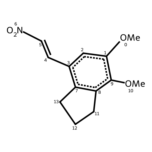 COc1cc(C=C[N+](=O)[O-])c2c(c1OC)CCC2